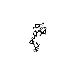 COc1ccc(F)c(-c2ccc(COc3cccc([C@@H](CC(=O)O)C4(C)CC4)c3F)cc2[C@H](O)C2(C)CC2)c1